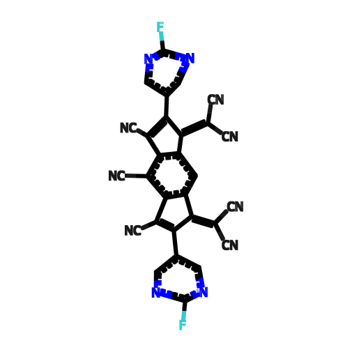 N#CC(C#N)=C1C(c2cnc(F)nc2)=C(C#N)c2c1cc1c(c2C#N)C(C#N)=C(c2cnc(F)nc2)C1=C(C#N)C#N